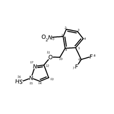 O=[N+]([O-])c1cccc(C(F)F)c1COc1ccn(S)n1